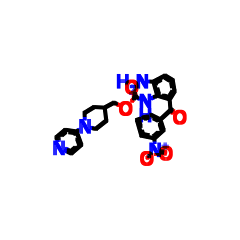 Nc1cccc(C(=O)c2cccc([N+](=O)[O-])c2)c1NC(=O)OCC1CCN(c2ccncc2)CC1